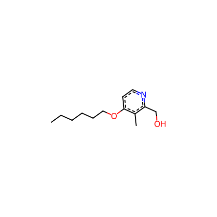 CCCCCCOc1ccnc(CO)c1C